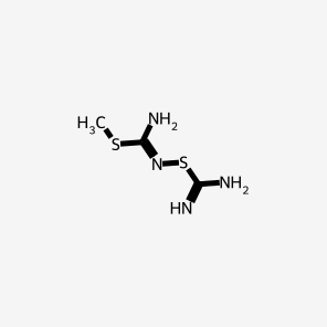 CS/C(N)=N/SC(=N)N